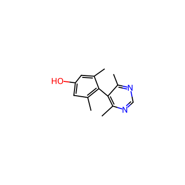 Cc1cc(O)cc(C)c1-c1c(C)ncnc1C